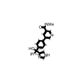 CNC(=O)c1cncc(-c2ccc(C(O)(c3c[nH]cn3)C(C)C)cc2)c1